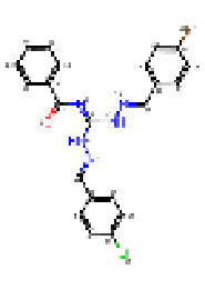 O=C(/N=C(\N/N=C/c1ccc(Cl)cc1)N/N=C/c1ccc(Br)cc1)c1ccccc1